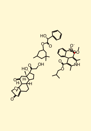 CC1CC(OC(=O)C(O)c2ccccc2)CC(C)(C)C1.COC(=O)C1=C(C)NC(C)=C(C(=O)OCC(C)C)C1c1ccccc1[N+](=O)[O-].C[C@]12CCC(=O)C=C1CC[C@@H]1[C@@H]2C(=O)C[C@@]2(C)[C@H]1CC[C@]2(O)C(=O)CO